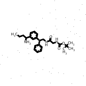 CCCC(N)c1cccc(C(CNC(=O)CNC(=O)OC(C)(C)C)c2ccccc2)c1